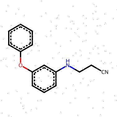 N#CCCNc1cccc(Oc2ccccc2)c1